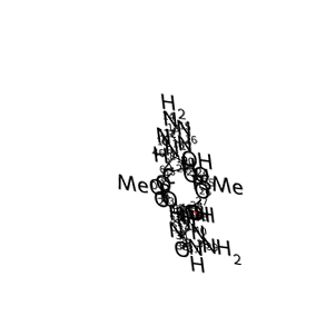 CO[P@]1(=O)OC[C@@]23C[C@@H]2[C@@H](n2cnc4c(N)ncnc42)[C@H](O)[C@@H]3O[P@@](=O)(SC)OC[C@H]2O[C@@H](n3cnc4c(=O)[nH]c(N)nc43)[C@H](O1)[C@@H]2O